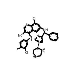 N#Cc1cnc2c(Cl)cc(NC(c3ccccc3)c3cn([C@@H]4CCNC[C@H]4F)nn3)cc2c1Nc1ccc(F)c(Cl)c1